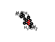 C[Si](C)(C)c1ccc(-c2ccc3c(-c4ccccc4-c4ccccc4)c4cc(-c5ccc([Si](C)(C)C)c6ccccc56)ccc4c(-c4ccccc4-c4ccccc4)c3c2)c2ccccc12